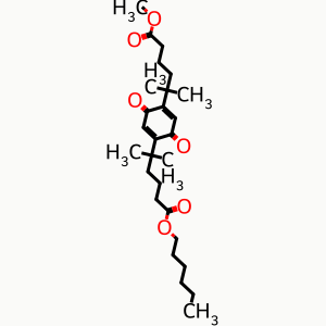 CCCCCCOC(=O)CCCC(C)(C)C1=CC(=O)C(C(C)(C)CCCC(=O)OC)=CC1=O